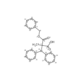 CC(C(=O)O)(C(=O)OCc1ccccc1)N(c1ccccc1)c1ccccc1